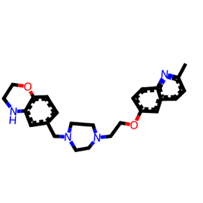 Cc1ccc2cc(OCCN3CCN(Cc4ccc5c(c4)NCCO5)CC3)ccc2n1